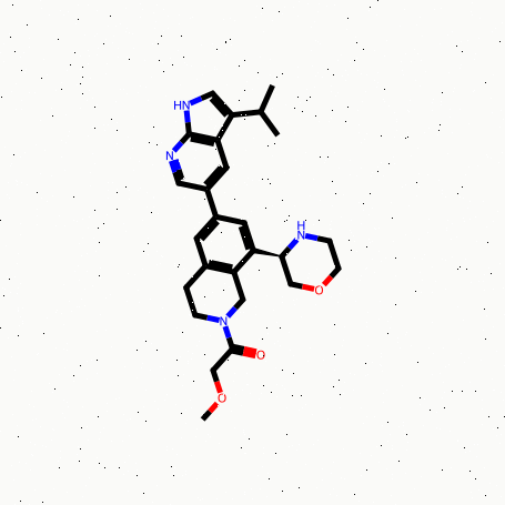 COCC(=O)N1CCc2cc(-c3cnc4[nH]cc(C(C)C)c4c3)cc([C@@H]3COCCN3)c2C1